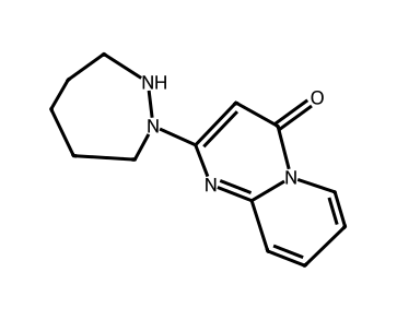 O=c1cc(N2CCCCCN2)nc2ccccn12